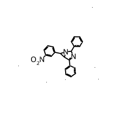 O=[N+]([O-])c1cccc(C2C3C(c4ccccc4)=NC(c4ccccc4)N32)c1